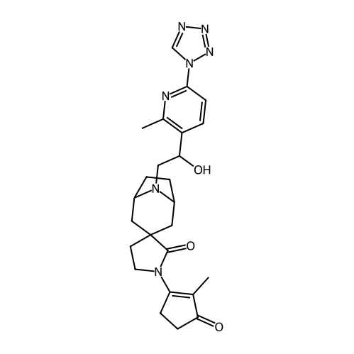 CC1=C(N2CCC3(CC4CCC(C3)N4CC(O)c3ccc(-n4cnnn4)nc3C)C2=O)CCC1=O